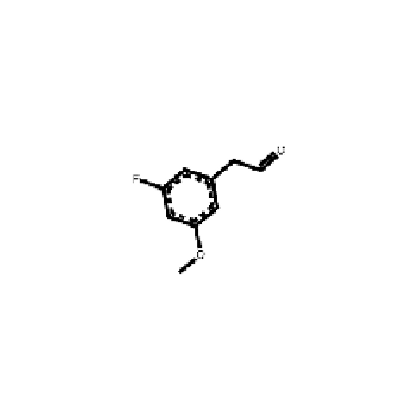 COc1cc(F)cc(CC=O)c1